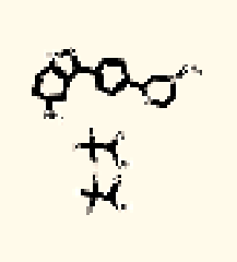 CN1CCOC(c2ccc(-c3n[nH]c4ccc(N)cc34)cc2)C1.O=C(O)C(F)(F)F.O=C(O)C(F)(F)F